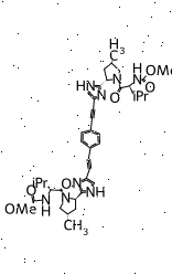 COC(=O)N[C@H](C(=O)N1C[C@@H](C)C[C@@H]1c1nc(C#Cc2ccc(C#Cc3c[nH]c([C@@H]4C[C@H](C)CN4C(=O)[C@@H](NC(=O)OC)C(C)C)n3)cc2)c[nH]1)C(C)C